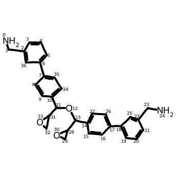 NCc1cccc(-c2ccc(C(OC(c3ccc(-c4cccc(CN)c4)cc3)C3CO3)C3CO3)cc2)c1